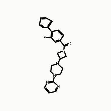 O=C(c1ccc(-c2ccccc2)c(F)c1)N1CC(N2CCN(c3ncccn3)CC2)C1